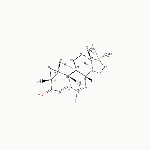 CC(=O)O[C@]1(C(C)=O)CC[C@H]2[C@@H]3C=C(I)C4=CC(=O)[C@@H]5C[C@@H]5[C@]4(C)[C@H]3CC[C@@]21C